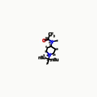 CCCCC(C)(CCCC)N1CCC(N(C)C(=O)C(F)(F)F)CC1